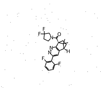 CC1(C)[C@@H]2CC[C@@]1(C(=O)N1CCC(F)(F)C1)c1nnc(-c3c(F)cccc3F)cc12